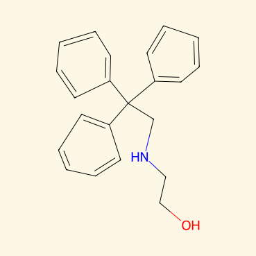 OCCNCC(c1ccccc1)(c1ccccc1)c1ccccc1